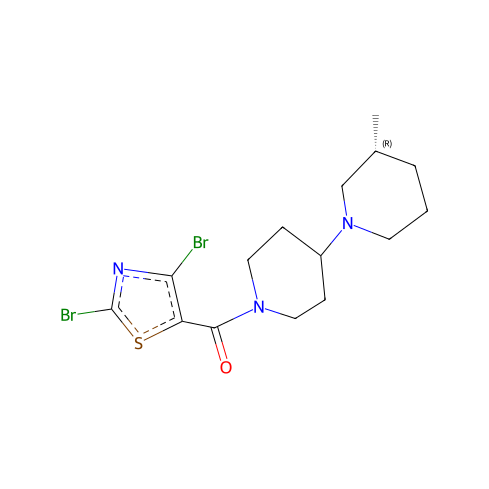 C[C@@H]1CCCN(C2CCN(C(=O)c3sc(Br)nc3Br)CC2)C1